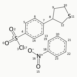 O=S(=O)(Cl)c1ccc(C2CCSC2)cc1.O=[N+]([O-])c1ccccc1